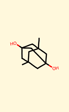 CC12CC3(C)CC(O)(C1)CC(O)(C2)C3